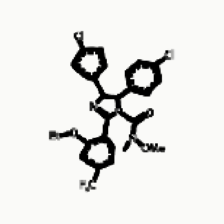 CCOc1cc(C(F)(F)F)ccc1C1=NC(c2ccc(Cl)cc2)C(c2ccc(Cl)cc2)N1C(=O)N(C)OC